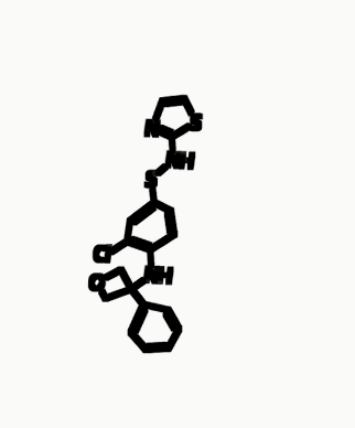 Clc1cc(SNc2nccs2)ccc1NC1(c2ccccc2)COC1